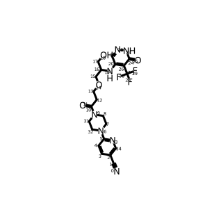 N#Cc1ccc(N2CCN(C(=O)CCOCC(CO)Nc3cn[nH]c(=O)c3C(F)(F)F)CC2)nc1